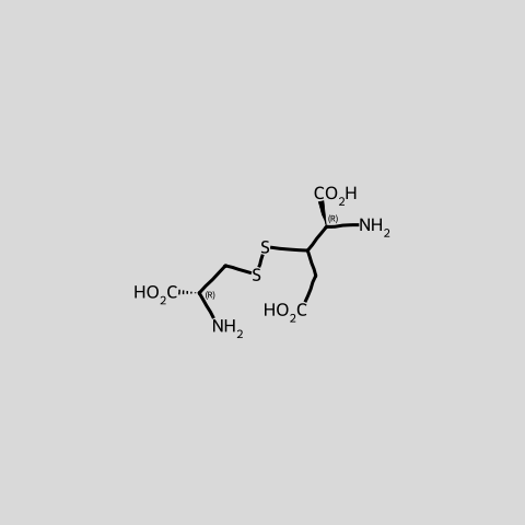 N[C@H](C(=O)O)C(CC(=O)O)SSC[C@H](N)C(=O)O